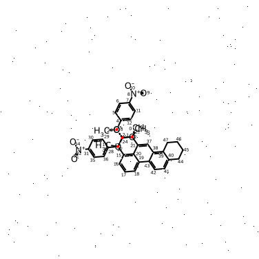 COC(Oc1ccc([N+](=O)[O-])cc1)C(C)c1cccc2c1c(C(C)C(OC)Oc1ccc([N+](=O)[O-])cc1)cc1c3c(ccc12)CCCC3